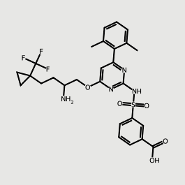 Cc1cccc(C)c1-c1cc(OCC(N)CCC2(C(F)(F)F)CC2)nc(NS(=O)(=O)c2cccc(C(=O)O)c2)n1